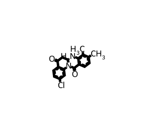 Cc1ccc(C(=O)N2CCC(=O)c3ccc(Cl)cc32)c(N)c1C